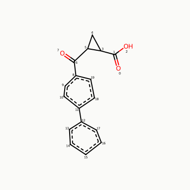 O=C(O)C1CC1C(=O)c1ccc(-c2ccccc2)cc1